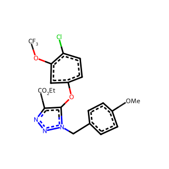 CCOC(=O)c1nnn(Cc2ccc(OC)cc2)c1Oc1ccc(Cl)c(OC(F)(F)F)c1